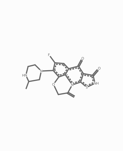 C=C1COc2c(N3CCNC(C)C3)c(F)cc3c(=O)c4c(=O)[nH]sc4n1c23